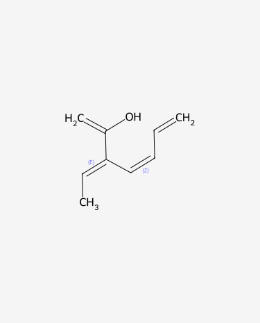 C=C/C=C\C(=C/C)C(=C)O